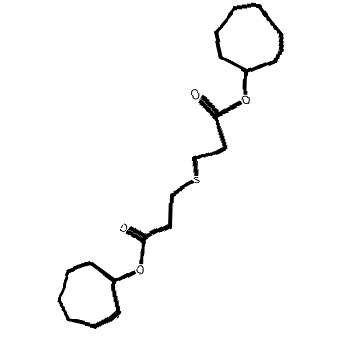 O=C(CCSCCC(=O)OC1CCCCCC1)OC1CCCCCC1